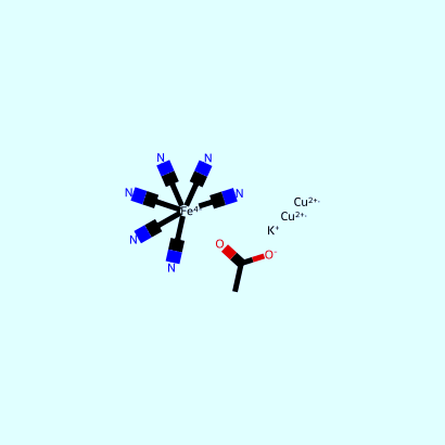 CC(=O)[O-].N#[C][Fe-4]([C]#N)([C]#N)([C]#N)([C]#N)[C]#N.[Cu+2].[Cu+2].[K+]